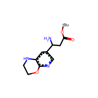 CC(C)(C)OC(=O)CC(N)c1cnc2c(c1)NCCO2